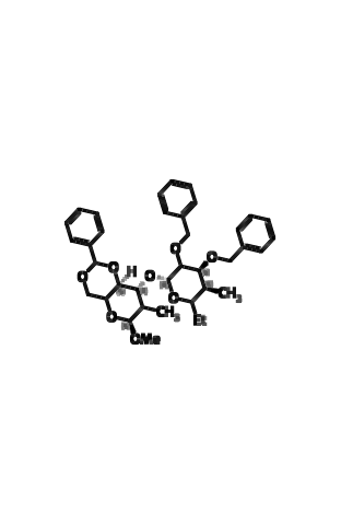 CCC1O[C@H](O[C@@H]2C(C)[C@@H](OC)OC3COC(c4ccccc4)O[C@H]32)C(OCc2ccccc2)[C@@H](OCc2ccccc2)[C@H]1C